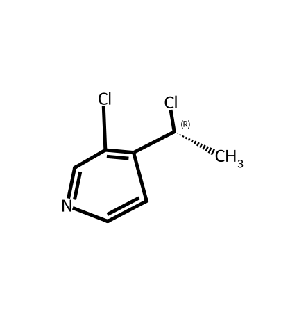 C[C@@H](Cl)c1ccncc1Cl